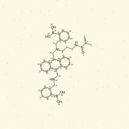 C=C(C)C(=O)NCCCN(Cc1ccccc1B(O)O)Cc1c2ccccc2c(CNCc2ccccc2B(O)O)c2ccccc12